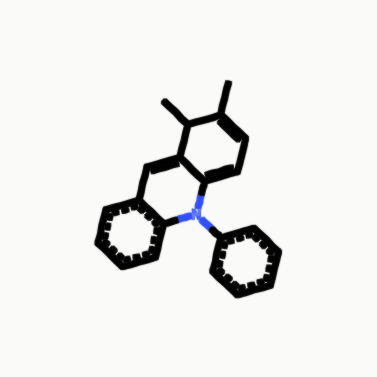 CC1=CC=C2C(=Cc3ccccc3N2c2ccccc2)C1C